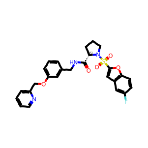 O=C(NCc1cccc(OCc2ccccn2)c1)[C@@H]1CCCN1S(=O)(=O)c1cc2cc(F)ccc2o1